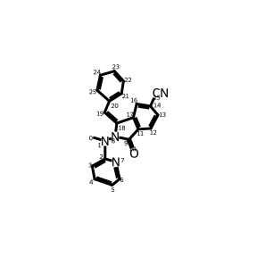 CN(c1ccccn1)N1C(=O)c2ccc(C#N)cc2C1=Cc1ccccc1